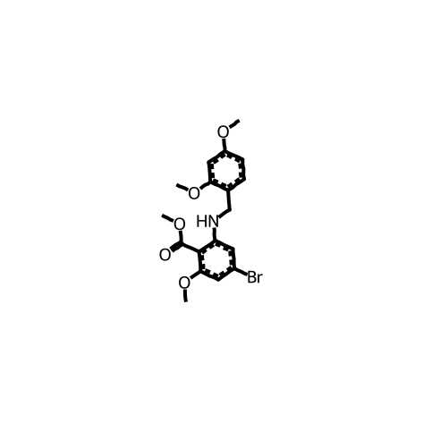 COC(=O)c1c(NCc2ccc(OC)cc2OC)cc(Br)cc1OC